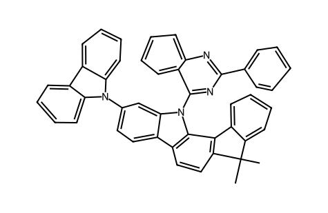 CC1(C)c2ccccc2-c2c1ccc1c3ccc(-n4c5ccccc5c5ccccc54)cc3n(-c3nc(-c4ccccc4)nc4ccccc34)c21